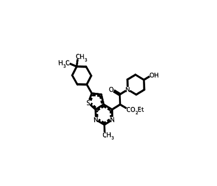 CCOC(=O)C(C(=O)N1CCC(O)CC1)c1nc(C)nc2sc(C3CCC(C)(C)CC3)cc12